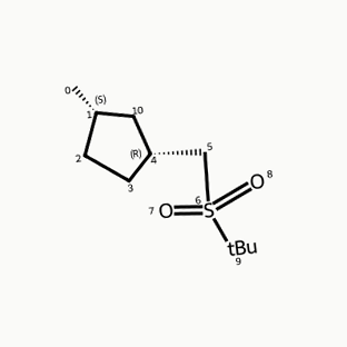 C[C@H]1CC[C@@H](CS(=O)(=O)C(C)(C)C)C1